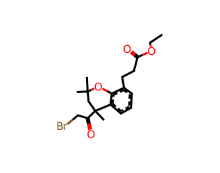 CCOC(=O)CCc1cccc2c1OC(C)(C)CC2(C)C(=O)CBr